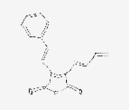 C=CC=CC1=C(C=Cc2ccccc2)C(=O)OC1=O